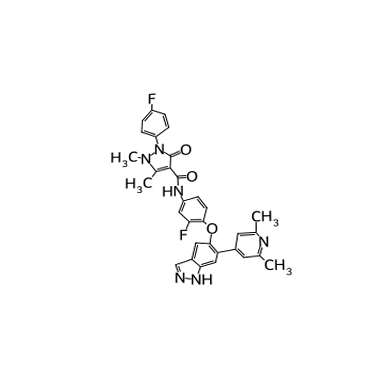 Cc1cc(-c2cc3[nH]ncc3cc2Oc2ccc(NC(=O)c3c(C)n(C)n(-c4ccc(F)cc4)c3=O)cc2F)cc(C)n1